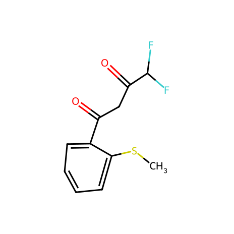 CSc1ccccc1C(=O)CC(=O)C(F)F